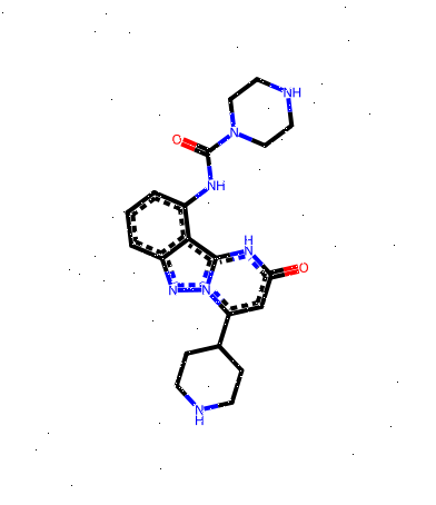 O=C(Nc1cccc2nn3c(C4CCNCC4)cc(=O)[nH]c3c12)N1CCNCC1